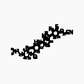 CN(C)CCN1CCN(C(=O)c2ccc(Nc3nccn4c(-c5ccc(OCC#N)c(F)c5F)cnc34)cc2Br)CC1